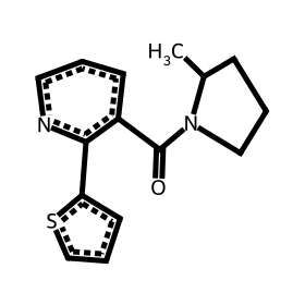 CC1CCCN1C(=O)c1cccnc1-c1cccs1